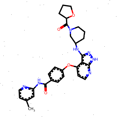 Cc1ccnc(NC(=O)c2ccc(Oc3ccnc4[nH]nc(NC5CCCN(C(=O)C6CCCO6)C5)c34)cc2)c1